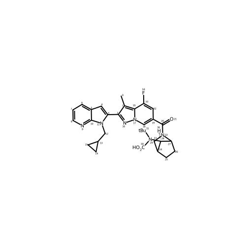 Cc1c(-c2cc3cccnc3n2CC2CC2)nn2cc(C(=O)N3CC4CCC3[C@@H]4N(C(=O)O)C(C)(C)C)cc(F)c12